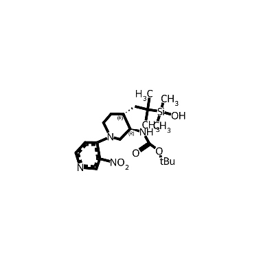 CC(C)(C)OC(=O)N[C@H]1CN(c2ccncc2[N+](=O)[O-])CC[C@@H]1CC(C)(C)[Si](C)(C)O